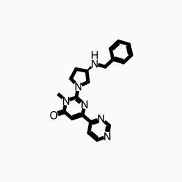 Cn1c(N2CC[C@@H](NCc3ccccc3)C2)nc(-c2ccncn2)cc1=O